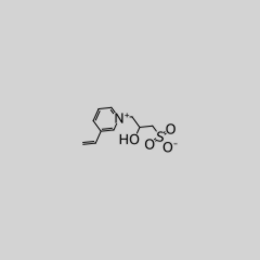 C=Cc1ccc[n+](CC(O)CS(=O)(=O)[O-])c1